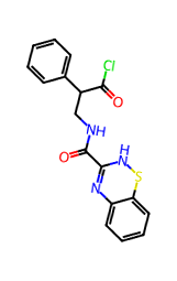 O=C(NCC(C(=O)Cl)c1ccccc1)C1=Nc2ccccc2SN1